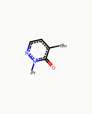 CC(C)n1nccc(C(C)(C)C)c1=O